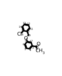 CC(=O)c1cccc(OCc2ccccc2Cl)c1